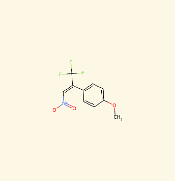 COc1ccc(/C(=C\[N+](=O)[O-])C(F)(F)F)cc1